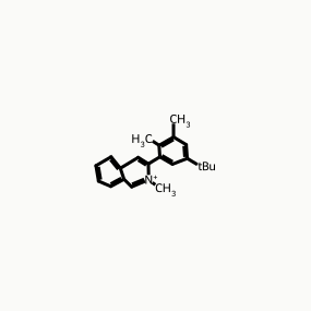 Cc1cc(C(C)(C)C)cc(-c2cc3ccccc3c[n+]2C)c1C